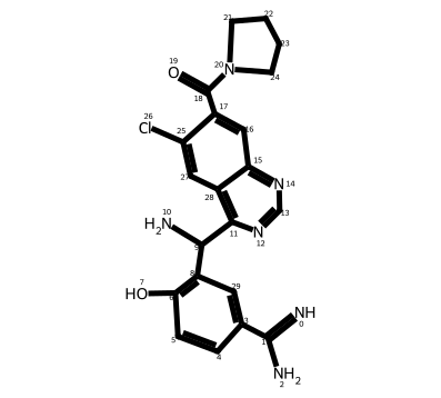 N=C(N)c1ccc(O)c(C(N)c2ncnc3cc(C(=O)N4CCCC4)c(Cl)cc23)c1